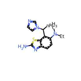 CCCC(c1c(N(C)CC)ccc2nc(N)sc12)n1ccnc1